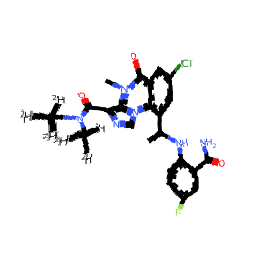 [2H]C([2H])([2H])N(C(=O)c1ncn2c3c(C(C)Nc4ccc(F)cc4C(N)=O)cc(Cl)cc3c(=O)n(C)c12)C([2H])([2H])[2H]